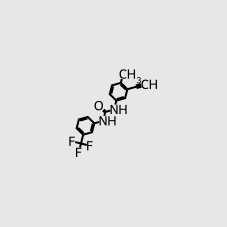 C#Cc1cc(NC(=O)Nc2cccc(C(F)(F)F)c2)ccc1C